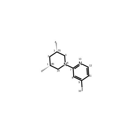 C[C@@H]1C[C@H](C)CN(c2cc(I)ccn2)C1